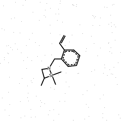 C=Cc1ccccc1CN1CC(C)[Si]1(C)C